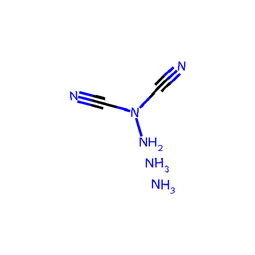 N.N.N#CN(N)C#N